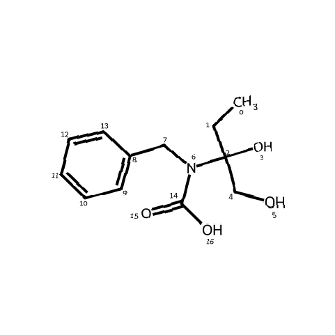 CCC(O)(CO)N(Cc1ccccc1)C(=O)O